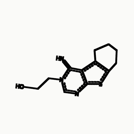 N=c1c2c3c(sc2ncn1CCO)CCCC3